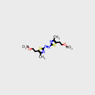 Cc1nc(N=Nc2nc(C)c(CCO[N+](=O)[O-])s2)sc1CCO[N+](=O)[O-]